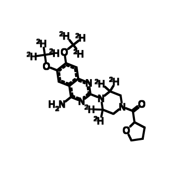 [2H]C([2H])([2H])Oc1cc2nc(N3C([2H])([2H])CN(C(=O)C4CCCO4)CC3([2H])[2H])nc(N)c2cc1OC([2H])([2H])[2H]